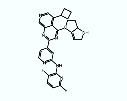 Fc1ccc(F)c(Nc2cc(-c3nc(N4CCC5NCC=C54)c4c(C5CCC5)cncc4n3)ccn2)n1